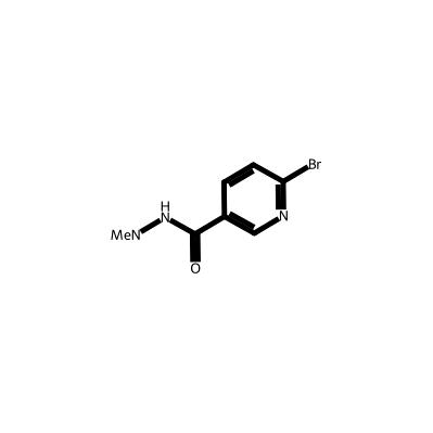 CNNC(=O)c1ccc(Br)nc1